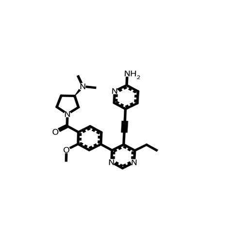 CCc1ncnc(-c2ccc(C(=O)N3CC[C@@H](N(C)C)C3)c(OC)c2)c1C#Cc1ccc(N)nc1